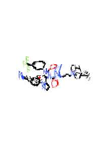 Cc1c(-c2ccnn2-c2ccc(C#N)cc2)n(C(=O)NCCCN(C)C)c(=O)n1-c1cccc(C(F)(F)F)c1